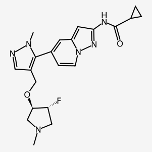 CN1C[C@@H](F)[C@H](OCc2cnn(C)c2-c2ccn3nc(NC(=O)C4CC4)cc3c2)C1